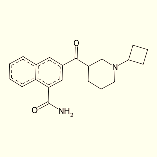 NC(=O)c1cc(C(=O)C2CCCN(C3CCC3)C2)cc2ccccc12